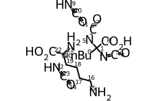 CCCCC(N=C=O)(N=C=O)C(=O)O.N=C=O.N=C=O.NCCCC[C@H](N)C(=O)O